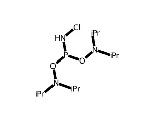 CC(C)N(OP(NCl)ON(C(C)C)C(C)C)C(C)C